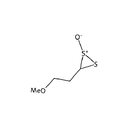 COCCC1S[S+]1[O-]